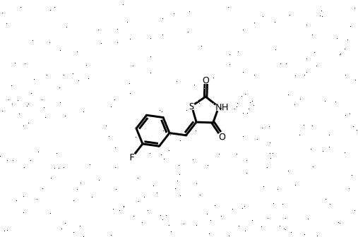 O=C1NC(=O)/C(=C/c2cccc(F)c2)S1